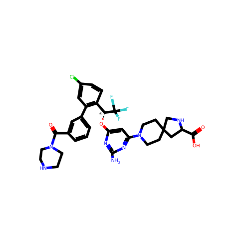 Nc1nc(O[C@H](c2ccc(Cl)cc2-c2cccc(C(=O)N3CCNCC3)c2)C(F)(F)F)cc(N2CCC3(CC2)CNC(C(=O)O)C3)n1